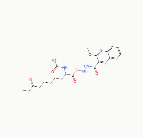 CCC(=O)CCCCCC(NC(=O)O)C(=O)ONNC(=O)c1cc2ccccc2nc1OC